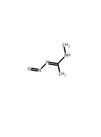 CNC(C)=NN=O